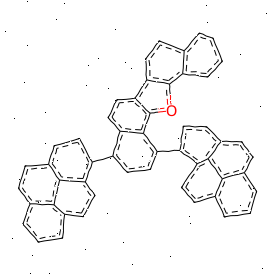 c1ccc2c(c1)ccc1c3ccc4c(-c5ccc6ccc7cccc8ccc5c6c78)ccc(-c5ccc6ccc7cccc8ccc5c6c78)c4c3oc21